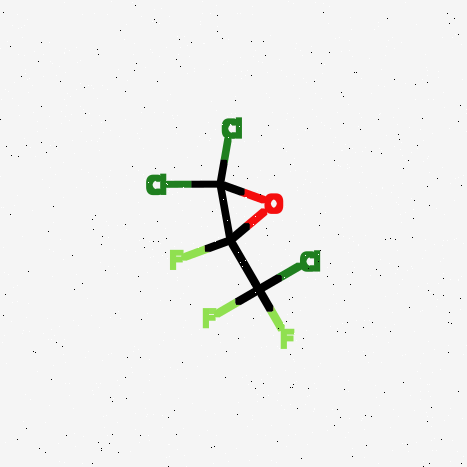 FC(F)(Cl)C1(F)OC1(Cl)Cl